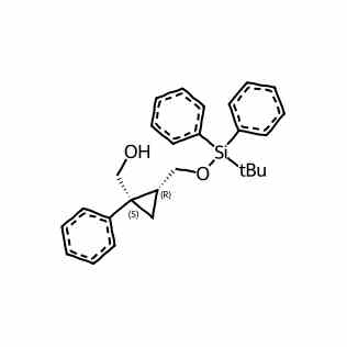 CC(C)(C)[Si](OC[C@@H]1C[C@@]1(CO)c1ccccc1)(c1ccccc1)c1ccccc1